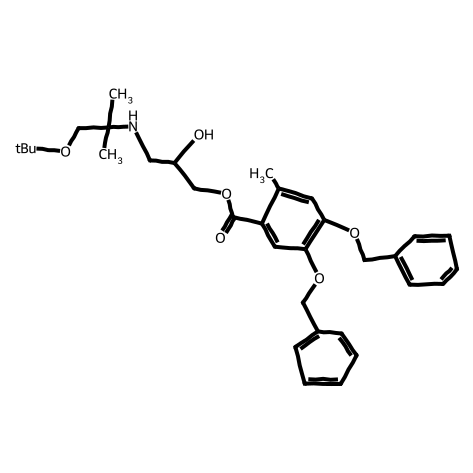 Cc1cc(OCc2ccccc2)c(OCc2ccccc2)cc1C(=O)OCC(O)CNC(C)(C)COC(C)(C)C